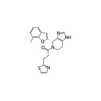 Cc1cccc2cc([C@@H]3c4nc[nH]c4CCN3C(=O)CCc3nccs3)oc12